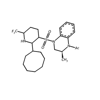 CC(=O)N1c2ccccc2N(S(=O)(=O)C2CCC(C(F)(F)F)NC2C2CCCCCCC2)C[C@@H]1C